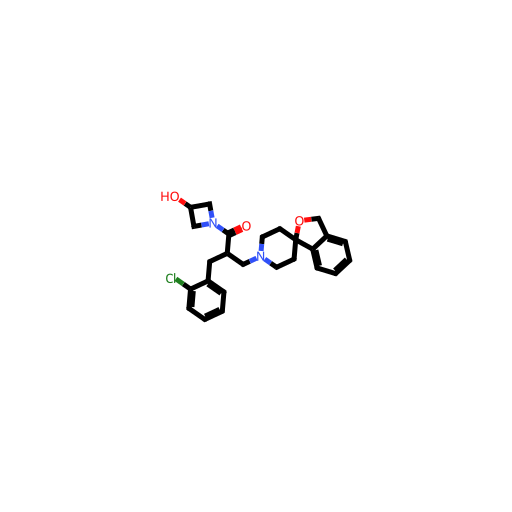 O=C(C(Cc1ccccc1Cl)CN1CCC2(CC1)OCc1ccccc12)N1CC(O)C1